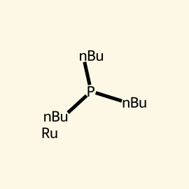 CCCCP(CCCC)CCCC.[Ru]